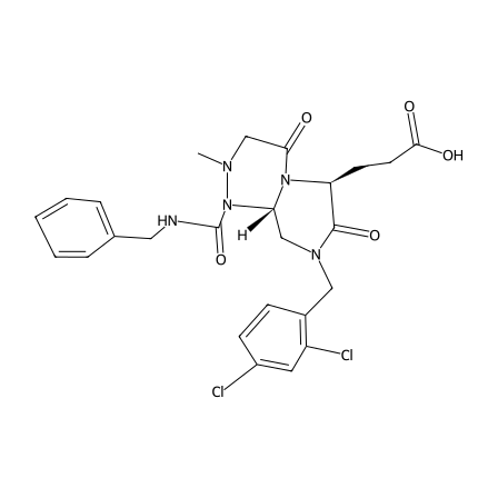 CN1CC(=O)N2[C@@H](CCC(=O)O)C(=O)N(Cc3ccc(Cl)cc3Cl)C[C@@H]2N1C(=O)NCc1ccccc1